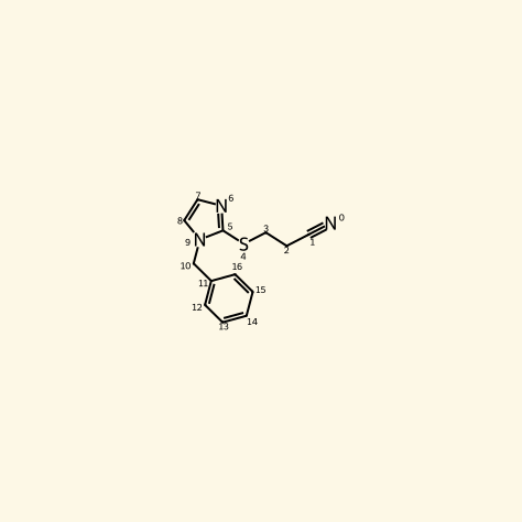 N#CCCSc1nccn1Cc1ccccc1